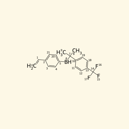 C=Cc1ccc(BC(C)(C)c2ccc(C(F)(F)F)cc2)cc1